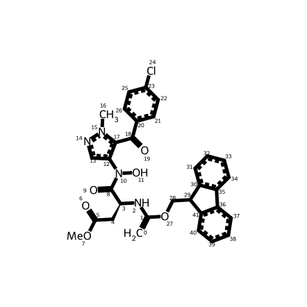 C=C(N[C@@H](CC(=O)OC)C(=O)N(O)c1cnn(C)c1C(=O)c1ccc(Cl)cc1)OCC1c2ccccc2-c2ccccc21